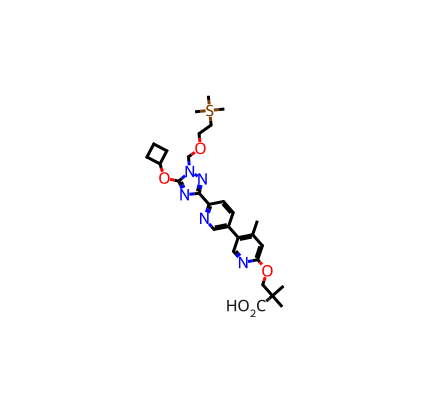 Cc1cc(OCC(C)(C)C(=O)O)ncc1-c1ccc(-c2nc(OC3CCC3)n(COCCS(C)(C)C)n2)nc1